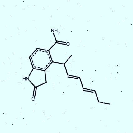 CC/C=C/C=C/C(C)c1c(C(N)=O)ccc2c1CC(=O)N2